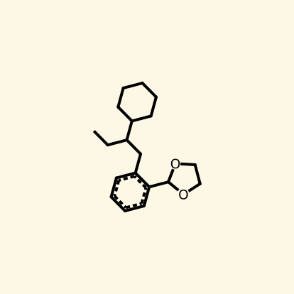 CCC(Cc1ccccc1C1OCCO1)C1CCCCC1